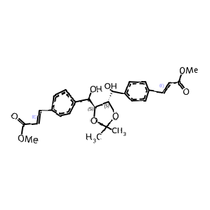 COC(=O)/C=C/c1ccc(C(O)[C@@H]2OC(C)(C)O[C@H]2C(O)c2ccc(/C=C/C(=O)OC)cc2)cc1